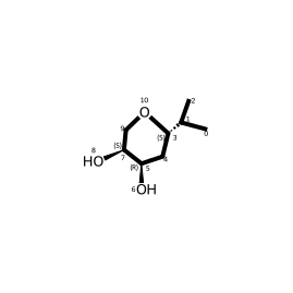 CC(C)[C@@H]1C[C@@H](O)[C@@H](O)CO1